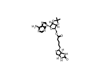 CC1(C)O[C@@H]2[C@H](O1)[C@@H](COC(=O)CCCC[C@@H]1SC[C@@H]3NC(=O)N[C@@H]31)O[C@H]2n1cnc2c(N)ncnc21